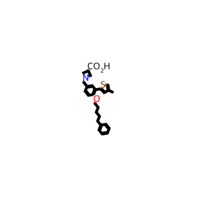 Cc1csc(-c2cc(CN3CC(C(=O)O)C3)ccc2OCCCCCc2ccccc2)c1